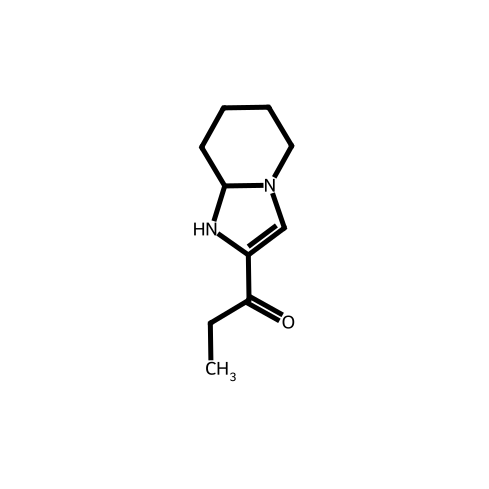 CCC(=O)C1=CN2CCCCC2N1